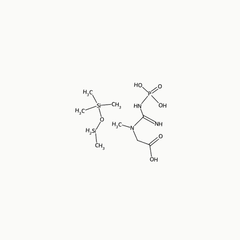 CN(CC(=O)O)C(=N)NP(=O)(O)O.C[SiH2]O[Si](C)(C)C